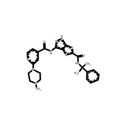 CN1CCN(c2cc(C(=O)Nc3n[nH]c4sc(C(=O)NC(C)(C)c5ccccc5)nc34)ccn2)CC1